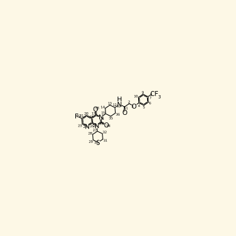 O=C(COc1ccc(C(F)(F)F)cc1)NC1CCC(n2c(=O)c3cc(F)cnc3n(C3CCSCC3)c2=O)CC1